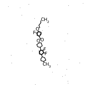 C=CCCCOc1ccc(C(=O)OC2CCC(c3ccc(C4CCC(C)CC4)c(F)c3F)CC2)cc1F